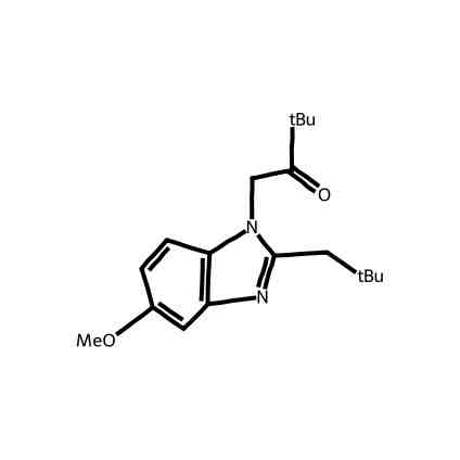 COc1ccc2c(c1)nc(CC(C)(C)C)n2CC(=O)C(C)(C)C